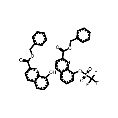 O=C(OCc1ccccc1)c1ccc2cccc(O)c2n1.O=C(OCc1ccccc1)c1ccc2cccc(OS(=O)(=O)C(F)(F)F)c2n1